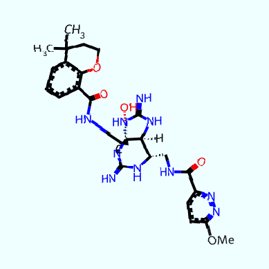 COc1ccc(C(=O)NC[C@@H]2NC(=N)N3CC(NC(=O)c4cccc5c4OCCC5(C)C)[C@@H](O)[C@@]34NC(=N)N[C@@H]24)nn1